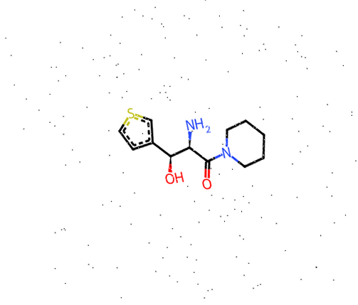 N[C@@H](C(=O)N1CCCCC1)[C@@H](O)c1ccsc1